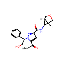 CNC(=O)c1cc(C(=O)N[C@H]2[C@@H]3COC[C@@H]32)nn1[C@@H](CO)c1ccccc1